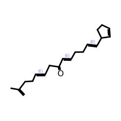 C=C(C)CC/C=C/CC(=O)/C=C/CC/C=C/C1C=CCC1